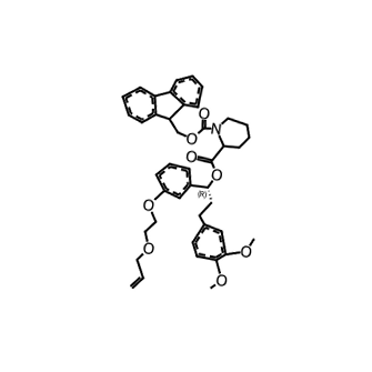 C=CCOCCOc1cccc([C@@H](CCc2ccc(OC)c(OC)c2)OC(=O)C2CCCCN2C(=O)OCC2c3ccccc3-c3ccccc32)c1